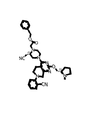 CN1CCC[C@H]1COc1nc2c(c(N3CCN(CC(=O)OCc4ccccc4)[C@@H](CC#N)C3)n1)CCN(c1ccccc1C#N)C2